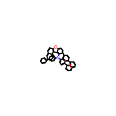 c1ccc(-c2ccc(-c3ccc4oc5ccc6ccccc6c5c4c3N(c3ccc(-c4ccccc4)cc3)c3ccc(-c4ccccc4)cc3)cc2)cc1